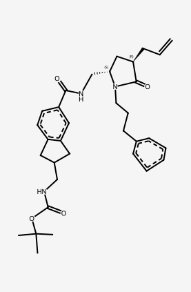 C=CC[C@@H]1C[C@@H](CNC(=O)c2ccc3c(c2)CC(CNC(=O)OC(C)(C)C)C3)N(CCCc2ccccc2)C1=O